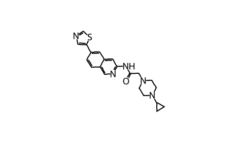 O=C(CN1CCN(C2CC2)CC1)Nc1cc2cc(-c3cncs3)ccc2cn1